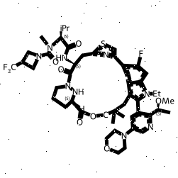 CCn1c(-c2cc(N3CCOCC3)cnc2[C@H](C)OC)c2c3cc(c(F)cc31)-c1csc(n1)C[C@H](NC(=O)[C@H](C(C)C)N(C)C(=O)N1CC(C(F)(F)F)C1)C(=O)N1CCC[C@H](N1)C(=O)OCC(C)(C)C2